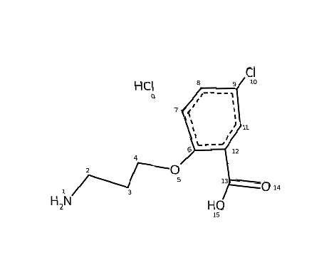 Cl.NCCCOc1ccc(Cl)cc1C(=O)O